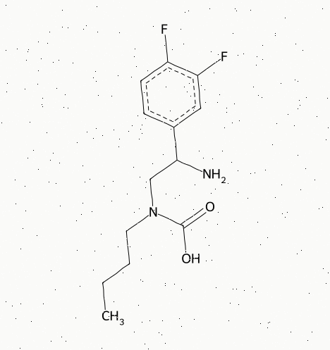 CCCCN(CC(N)c1ccc(F)c(F)c1)C(=O)O